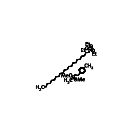 C=CCCCCCCCCCCCCCCCCCCCC[Si](OCC)(OCC)OCC.CO[Si](C)(CCc1ccc(C)cc1)OC